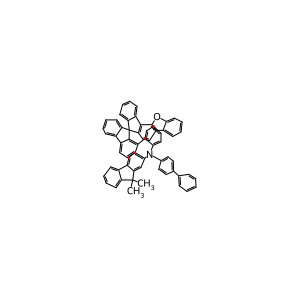 CC1(C)c2ccccc2-c2ccc(N(c3ccc(-c4ccccc4)cc3)c3ccccc3-c3cccc4c3C3(c5ccccc5-4)c4ccccc4-c4c3ccc3c4oc4ccccc43)cc21